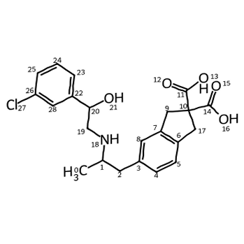 CC(Cc1ccc2c(c1)CC(C(=O)O)(C(=O)O)C2)NCC(O)c1cccc(Cl)c1